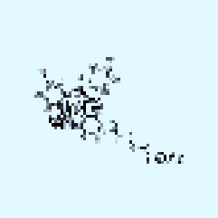 CC(=O)OCCCCCOc1ccc(NS(=O)(=O)c2ccc(C)cc2)c(NS(=O)(=O)c2ccc(C)cc2)c1